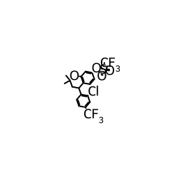 CC1(C)CC(c2ccc(C(F)(F)F)cc2Cl)c2ccc(OS(=O)(=O)C(F)(F)F)cc2O1